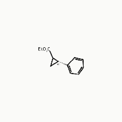 CCOC(=O)C1C[C@H]1c1ccccc1